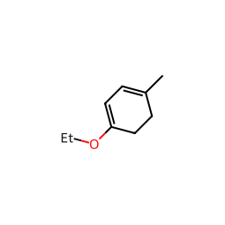 CCOC1=CC=C(C)CC1